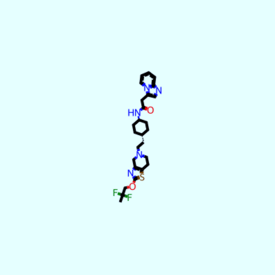 CC(F)(F)COc1nc2c(s1)CCN(CC[C@H]1CC[C@H](NC(=O)Cc3cnc4ccccn34)CC1)C2